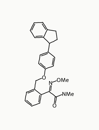 CNC(=O)C(=NOC)c1ccccc1COc1ccc(C2CCc3ccccc32)cc1